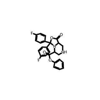 O=C(Oc1ccccc1)C1CNCC2C(=O)OC(c3ccc(F)cc3)(c3ccc(F)cc3)N12